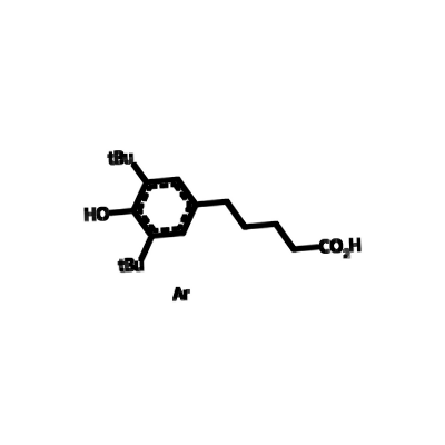 CC(C)(C)c1cc(CCCCC(=O)O)cc(C(C)(C)C)c1O.[Ar]